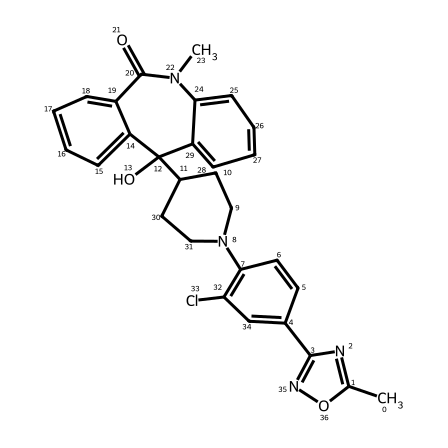 Cc1nc(-c2ccc(N3CCC(C4(O)c5ccccc5C(=O)N(C)c5ccccc54)CC3)c(Cl)c2)no1